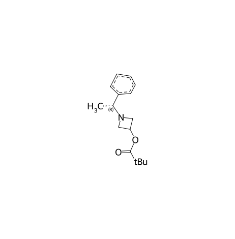 C[C@H](c1ccccc1)N1CC(OC(=O)C(C)(C)C)C1